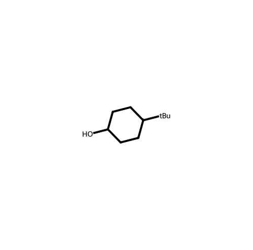 CC(C)(C)[C]1CCC(O)CC1